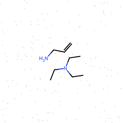 C=CCN.CCN(CC)CC